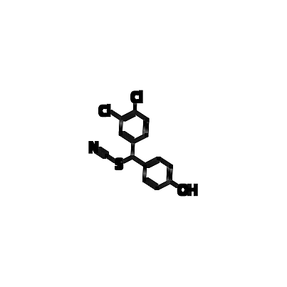 N#CSC(c1ccc(O)cc1)c1ccc(Cl)c(Cl)c1